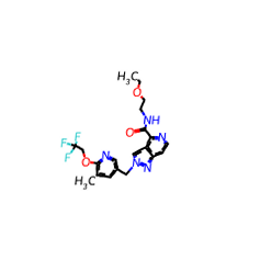 CCOCCNC(=O)c1nccc2nn(Cc3cnc(OCC(F)(F)F)c(C)c3)cc12